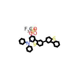 O=S(=O)(Oc1cc(N(c2ccccc2)c2ccccc2)c2sc3ccc(-c4ccc5sc6ccccc6c5c4)cc3c2c1)C(F)(F)F